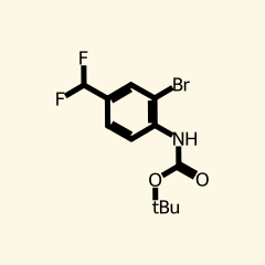 CC(C)(C)OC(=O)Nc1ccc(C(F)F)cc1Br